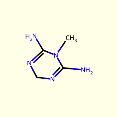 CN1C(N)=NCN=C1N